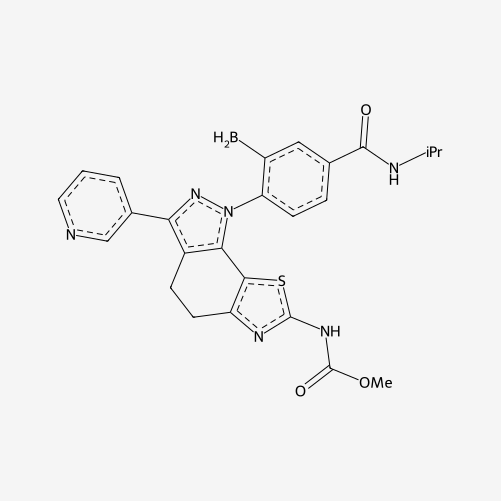 Bc1cc(C(=O)NC(C)C)ccc1-n1nc(-c2cccnc2)c2c1-c1sc(NC(=O)OC)nc1CC2